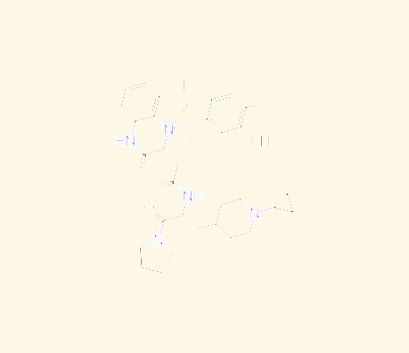 Cc1cc(S(=O)(=O)N2c3ccccc3NC(=O)[C@H]2CC(=O)N[C@H](CC2CCN(C3CC3)CC2)C(=O)N2CCCC2)c(C)cc1Cl